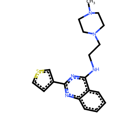 CN1CCN(CCNc2nc(-c3ccsc3)nc3ccccc23)CC1